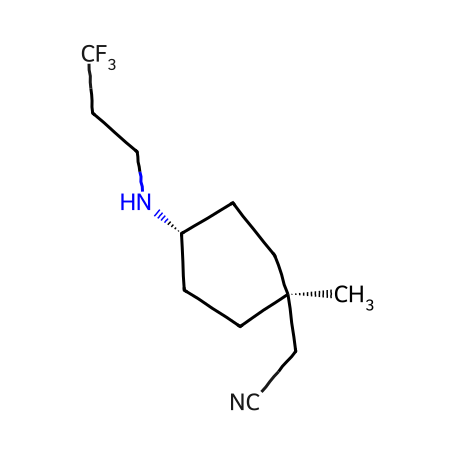 C[C@]1(CC#N)CC[C@H](NCCC(F)(F)F)CC1